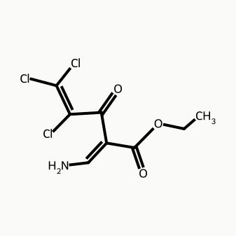 CCOC(=O)C(=CN)C(=O)C(Cl)=C(Cl)Cl